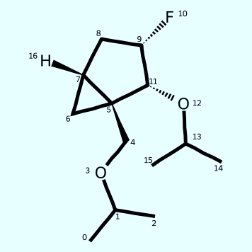 CC(C)OC[C@@]12C[C@@H]1C[C@H](F)[C@@H]2OC(C)C